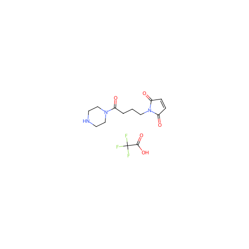 O=C(CCCN1C(=O)C=CC1=O)N1CCNCC1.O=C(O)C(F)(F)F